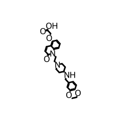 O=C(O)COc1cccc2c1ccc(=O)n2CCN1CCC(NCc2ccc3c(c2)OCCO3)CC1